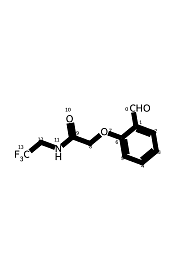 O=Cc1ccccc1OCC(=O)NCC(F)(F)F